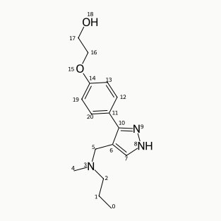 CCCN(C)Cc1c[nH]nc1-c1ccc(OCCO)cc1